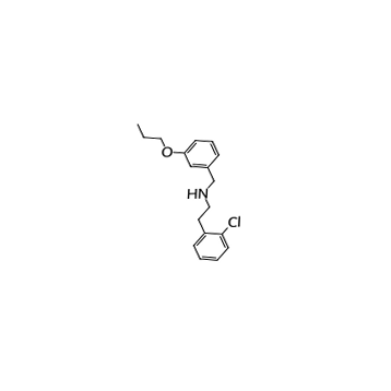 CCCOc1cccc(CNCCc2ccccc2Cl)c1